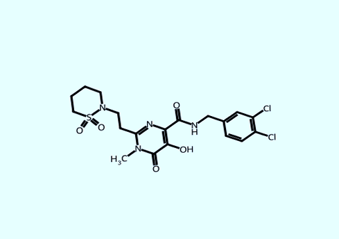 Cn1c(CCN2CCCCS2(=O)=O)nc(C(=O)NCc2ccc(Cl)c(Cl)c2)c(O)c1=O